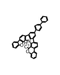 CC1Oc2ccccc2-c2ccc3c4cc(-c5ccc(-c6ccccc6)cc5)cc5c6ccc7c8ccccc8oc7c6n(c3c21)c45